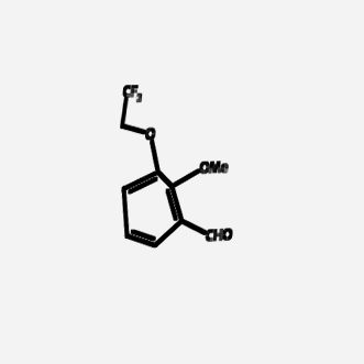 COc1c(C=O)cccc1OCC(F)(F)F